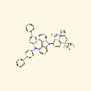 CC1(C)CCC(C)(C)c2cc(-n3c4ccccc4c4c(N(c5ccc(-c6ccccc6)cc5)c5ccc(-c6ccccc6)cc5)cccc43)ccc21